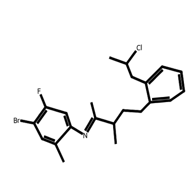 C/C(=N\c1cc(F)c(Br)cc1C)C(C)CCc1ccccc1CC(C)Cl